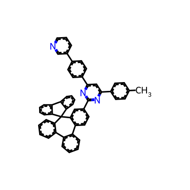 Cc1ccc(-c2cc(-c3ccc(-c4cccnc4)cc3)nc(-c3ccc4c(c3)C3(c5ccccc5-c5ccccc5-4)c4ccccc4-c4ccccc43)n2)cc1